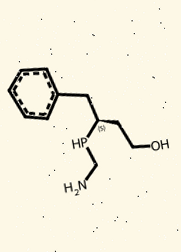 NCP[C@H](CCO)Cc1ccccc1